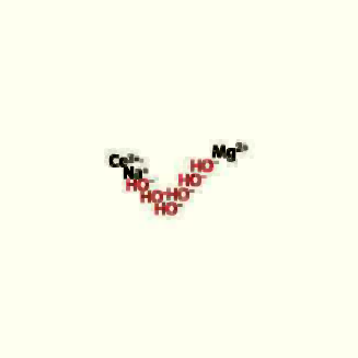 [Ce+3].[Mg+2].[Na+].[OH-].[OH-].[OH-].[OH-].[OH-].[OH-]